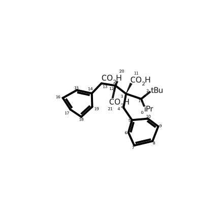 CC(C)C(C(C)(C)C)[C@@](Cc1ccccc1)(C(=O)O)C(Cc1ccccc1)(C(=O)O)C(=O)O